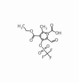 CCOC(=O)c1c(OS(=O)(=O)C(F)(F)F)c(C=O)n(C(=O)O)c1C